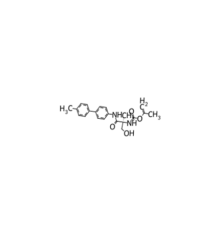 C=C(C)OC(=O)N[C@@](C)(CO)C(=O)Nc1ccc(-c2ccc(C)cc2)cc1